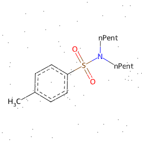 CCCCCN(CCCCC)S(=O)(=O)c1ccc(C)cc1